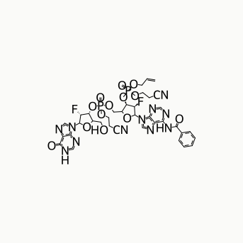 C=CCOP(=O)(OCCC#N)O[C@@H]1C(COP(=O)(OCCC#N)O[C@@H]2C(CO)OC(n3cnc4c(=O)[nH]cnc43)[C@@H]2F)OC(n2cnc3c(NC(=O)c4ccccc4)ncnc32)[C@@H]1F